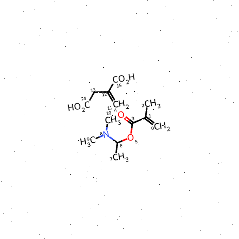 C=C(C)C(=O)OC(C)N(C)C.C=C(CC(=O)O)C(=O)O